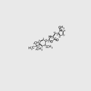 CC1C=C(C(C)(C)C)C=CC1C1=N/C(=C/c2cccn2C)C(=O)O1